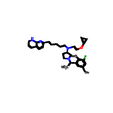 COc1c(F)cc(C(C)C)cc1C(C(=O)O)N1CC[C@@H](N(CCCCCc2ccc3c(n2)NCCC3)CCOC2CC2)C1